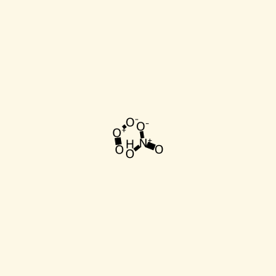 O=[N+]([O-])O.O=[O+][O-]